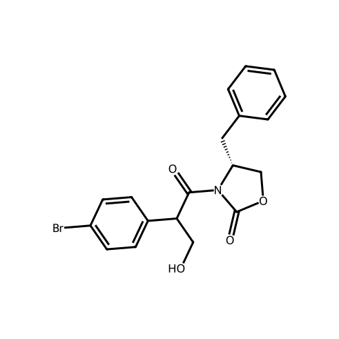 O=C1OC[C@@H](Cc2ccccc2)N1C(=O)C(CO)c1ccc(Br)cc1